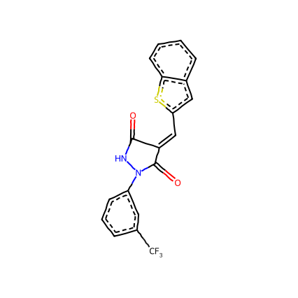 O=C1NN(c2cccc(C(F)(F)F)c2)C(=O)C1=Cc1cc2ccccc2s1